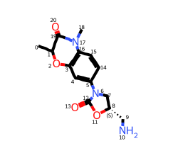 CC1Oc2cc(N3C[C@H](CN)OC3=O)ccc2N(C)C1=O